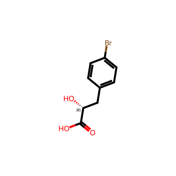 O=C(O)[C@H](O)Cc1ccc(Br)cc1